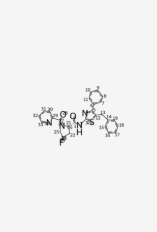 O=C(Nc1nc(-c2ccccc2)c(Cc2ccccc2)s1)[C@@H]1C[C@@H](F)CN1C(=O)c1ccccn1